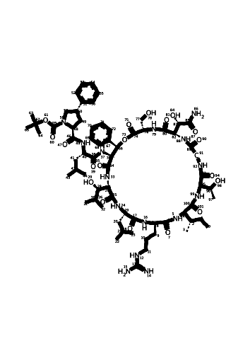 CC[C@H](C)C1NC(=O)[C@@H](CCCNC(=N)N)NC(=O)[C@H](CC(C)C)NC(=O)[C@H]([C@H](O)C(C)C)NC(=O)[C@@H](NC(=O)[C@H](CC(C)C)NC(=O)[C@@H]2C[C@@H](c3ccccc3)CN2C(=O)OC(C)(C)C)[C@@H](c2ccccc2)OC(=O)[C@H](CO)NC(=O)[C@H]([C@H](O)C(N)=O)NC(=O)CNC(=O)C([C@H](C)O)NC1=O